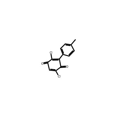 Cc1ccc(C2=C(Cl)C(=O)C=C(Cl)C2=O)cc1